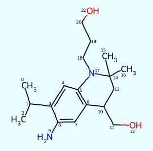 CC(C)c1cc2c(cc1N)C(CO)CC(C)(C)N2CCCO